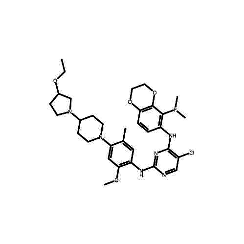 CCOC1CCN(C2CCN(c3cc(OC)c(Nc4ncc(Cl)c(Nc5ccc6c(c5P(C)C)OCCO6)n4)cc3C)CC2)C1